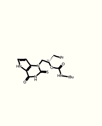 CC(C)C[C@@H](Cn1c(=S)[nH]c(=O)c2[nH]ccc21)OC(=O)NC(C)(C)C